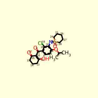 CC(C)Oc1ccc(C(=O)C2=C(O)CCCC2=O)c(Cl)c1N=S1(=O)CCCCC1